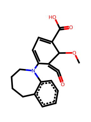 COC1C(=C=O)C(N2CCCCc3ccccc32)=CC=C1C(=O)O